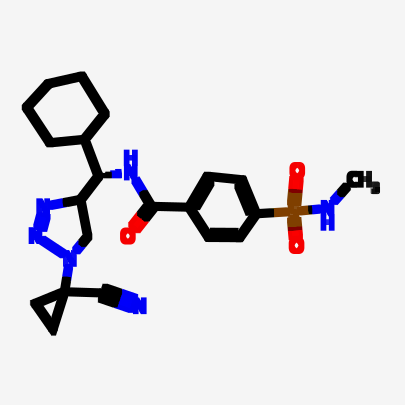 CNS(=O)(=O)c1ccc(C(=O)N[C@@H](C2CCCCC2)C2CN(C3(C#N)CC3)N=N2)cc1